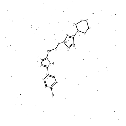 Brc1ccc(-c2cnc(NCCn3cc(C4CCCCC4)nn3)[nH]2)cc1